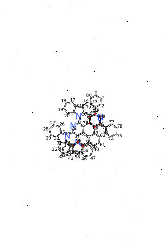 c1ccc(-c2cc(-c3c(-n4c5ccccc5c5ccccc54)nc(-n4c5ccccc5c5ccccc54)c(-n4c5ccccc5c5ccccc54)c3-c3c(-c4ccccc4)cccc3-c3ccccc3)cc(-c3ccccc3)n2)cc1